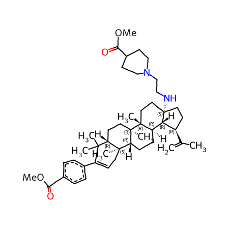 C=C(C)[C@@H]1CC[C@]2(NCCN3CCC(C(=O)OC)CC3)CC[C@]3(C)[C@H](CC[C@@H]4[C@@]5(C)CC=C(c6ccc(C(=O)OC)cc6)C(C)(C)[C@@H]5CC[C@]43C)[C@@H]12